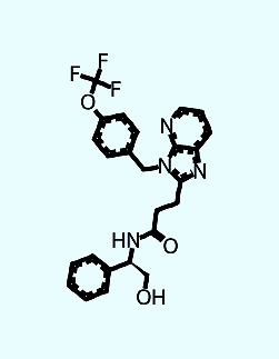 O=C(CCc1nc2cccnc2n1Cc1ccc(OC(F)(F)F)cc1)N[C@@H](CO)c1ccccc1